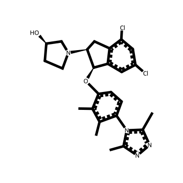 Cc1c(O[C@@H]2c3cc(Cl)cc(Cl)c3C[C@@H]2N2CC[C@@H](O)C2)ccc(-n2c(C)nnc2C)c1C